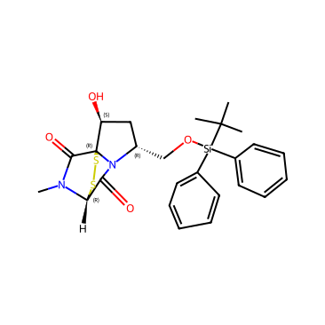 CN1C(=O)[C@@]23SS[C@@H]1C(=O)N2[C@@H](CO[Si](c1ccccc1)(c1ccccc1)C(C)(C)C)C[C@@H]3O